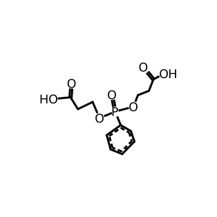 O=C(O)CCOP(=O)(OCCC(=O)O)c1ccccc1